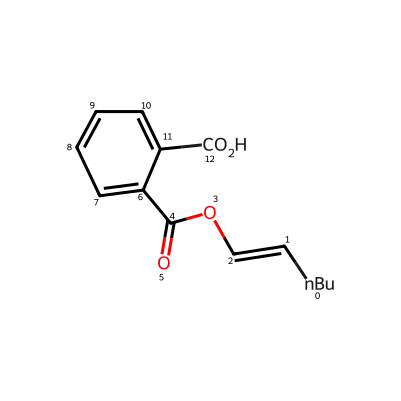 CCCCC=COC(=O)c1ccccc1C(=O)O